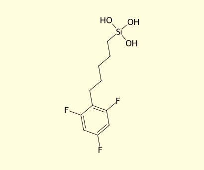 O[Si](O)(O)CCCCCc1c(F)cc(F)cc1F